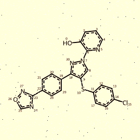 Oc1cccnc1-n1cc(Sc2ccc(Cl)cc2)c(-c2ccc(-c3ncon3)cc2)n1